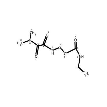 CCNC(=O)OSNC(=O)C(=O)N(C)C